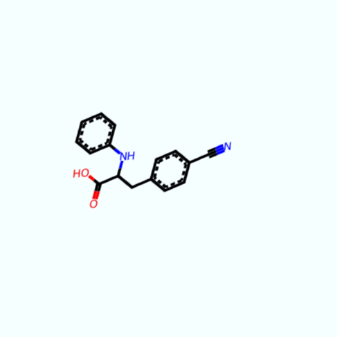 N#Cc1ccc(CC(Nc2ccccc2)C(=O)O)cc1